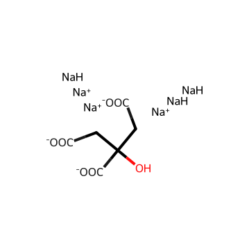 O=C([O-])CC(O)(CC(=O)[O-])C(=O)[O-].[Na+].[Na+].[Na+].[NaH].[NaH].[NaH]